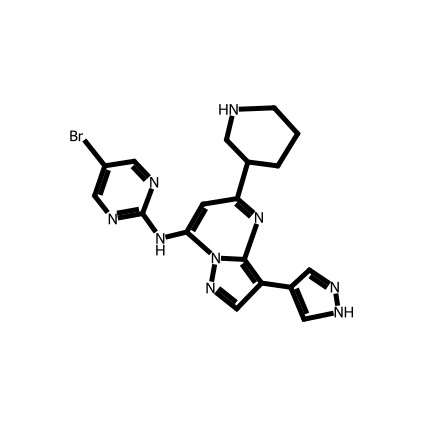 Brc1cnc(Nc2cc(C3CCCNC3)nc3c(-c4cn[nH]c4)cnn23)nc1